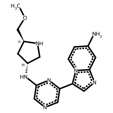 COC[C@@H]1C[C@@H](Nc2cncc(-c3cnc4cc(N)ccn34)n2)CN1